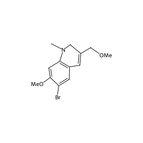 COCC1=Cc2cc(Br)c(OC)cc2N(C)C1